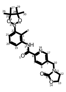 Cc1c(NC(=O)c2ccc(CN3CCOC3=O)cn2)cccc1B1OC(C)(C)C(C)(C)O1